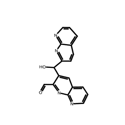 O=Cc1nc2ncccc2cc1C(O)c1ccc2cccnc2n1